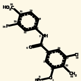 CCCOc1cc(C(=O)Nc2ccc(C(=O)O)c(F)c2)cc(Cl)c1C